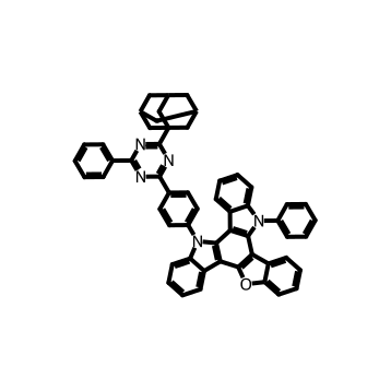 c1ccc(-c2nc(-c3ccc(-n4c5ccccc5c5c6oc7ccccc7c6c6c(c7ccccc7n6-c6ccccc6)c54)cc3)nc(C34CC5CC(CC(C5)C3)C4)n2)cc1